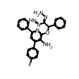 N=N/C(=N\N)C(Oc1nc(-c2ccccc2)cc(-c2ccc(F)cc2)c1N)c1ccccc1